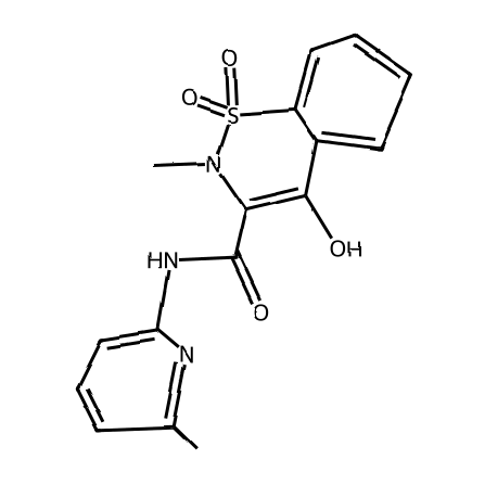 Cc1cccc(NC(=O)C2=C(O)c3ccccc3S(=O)(=O)N2C)n1